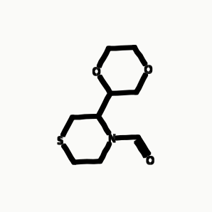 O=CN1CCSCC1C1COCCO1